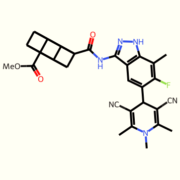 COC(=O)C12C3C4C1C1C2C3C41C(=O)Nc1n[nH]c2c(C)c(F)c(C3C(C#N)=C(C)N(C)C(C)=C3C#N)cc12